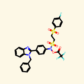 O=C(ON(c1ccc(-c2nc3ccccc3n2Cc2ccccc2)cc1)S(=O)(=O)CCS(=O)(=O)c1ccc(F)cc1)C(F)(F)F